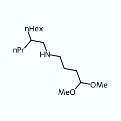 CCCCCCC(CCC)CNCCCC(OC)OC